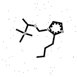 CCCCc1nccn1COC(C)[Si](C)(C)C